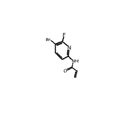 C=CC(=O)Nc1ccc(Br)c(F)n1